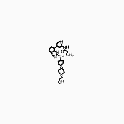 C=CC(=O)Nc1cc(-c2cccc3cnc(Nc4ccc(N5CCN(CCO)CC5)cc4)nc23)ccn1